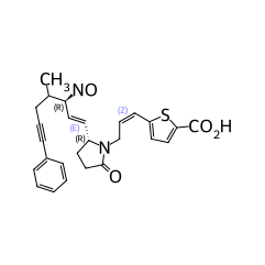 CC(CC#Cc1ccccc1)[C@H](/C=C/[C@H]1CCC(=O)N1C/C=C\c1ccc(C(=O)O)s1)N=O